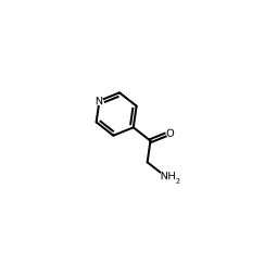 NCC(=O)c1ccncc1